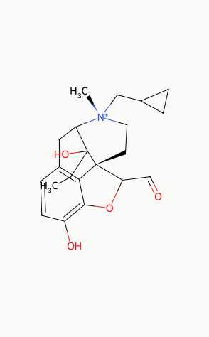 CCC1(O)C2Cc3ccc(O)c4c3[C@@]1(CC[N@@+]2(C)CC1CC1)C(C=O)O4